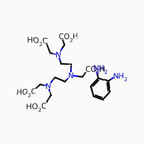 Nc1ccccc1N.O=C(O)CN(CCN(CC(=O)O)CC(=O)O)CCN(CC(=O)O)CC(=O)O